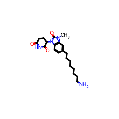 Cn1c(=O)n(C2CCC(=O)NC2=O)c2ccc(CCCCCCCCN)cc21